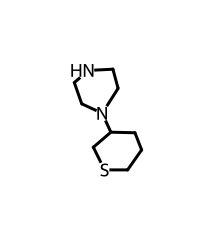 C1CSCC(N2CCNCC2)C1